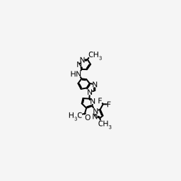 CC(=O)c1ccc(-n2cnc3cc(Nc4ccc(C)nn4)ccc32)nc1-n1nc(C)cc1C(F)F